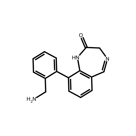 NCc1ccccc1-c1cccc2c1NC(=O)CN=C2